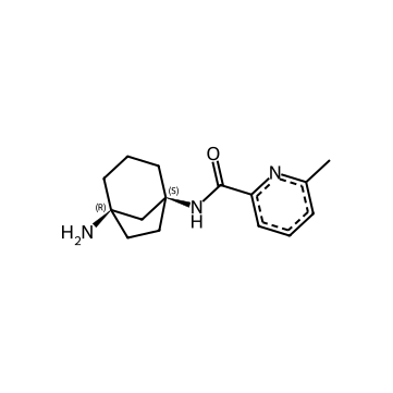 Cc1cccc(C(=O)N[C@@]23CCC[C@@](N)(CC2)C3)n1